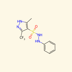 Cc1[nH]nc(C(F)(F)F)c1S(=O)(=O)NNc1ccccc1